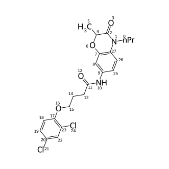 CCCN1C(=O)C(C)Oc2cc(NC(=O)CCCOc3ccc(Cl)cc3Cl)ccc21